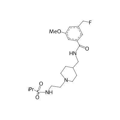 COc1cc(CF)cc(C(=O)NCC2CCN(CCNS(=O)(=O)C(C)C)CC2)c1